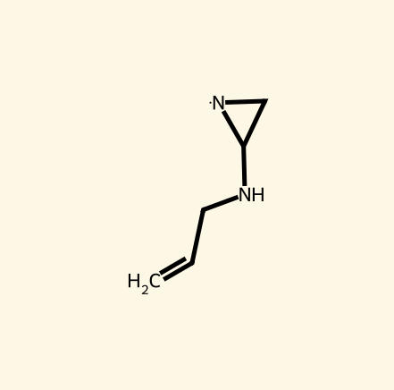 C=CCNC1C[N]1